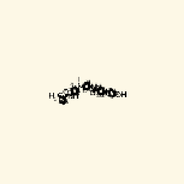 Cn1cccc1C(=O)Nc1ccc(Nc2ccc(NC(=O)c3ccc(N4CCC(O)CC4)cc3)cc2)c(F)c1